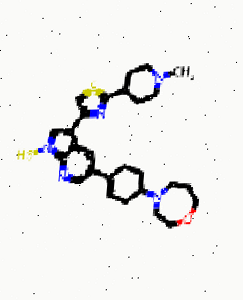 CN1CCC(c2nc(-c3cn(S)c4ncc(C5=CCC(N6CCCOCC6)CC5)cc34)cs2)CC1